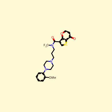 COc1ccccc1N1CCN(CCCN(C(=O)c2csc3c(=O)ccoc23)C(F)(F)F)CC1